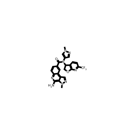 Cn1cc(N(C(=O)c2ccc3nc(N)c4c(cnn4C)c3c2)C2COc3nc(C(F)(F)F)ccc32)cn1